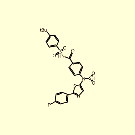 CC(C)(C)c1ccc(S(=O)(=O)NC(=O)c2ccc(N(c3cnc(-c4ccc(F)cc4)s3)[SH](=O)=O)cc2)cc1